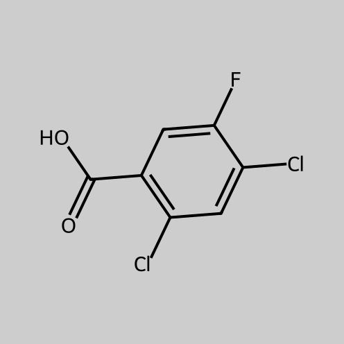 O=C(O)c1cc(F)c(Cl)cc1Cl